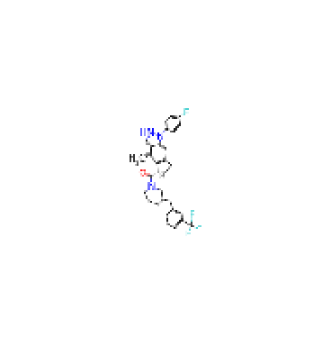 C[C@H]1C2=CNN(c3ccc(F)cc3)C2=CC2=C1[C@@H](C(=O)N1CCCC(Cc3cccc(C(F)(F)F)c3)C1)CC2